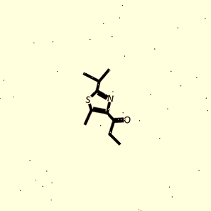 CCC(=O)c1nc(C(C)C)sc1C